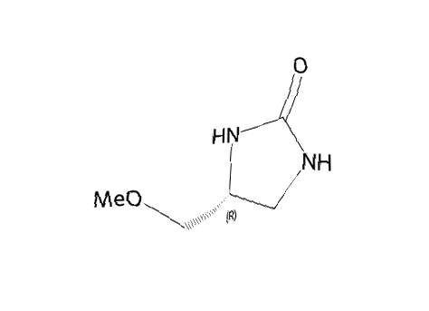 COC[C@H]1CNC(=O)N1